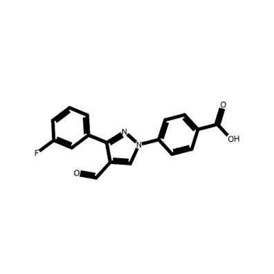 O=Cc1cn(-c2ccc(C(=O)O)cc2)nc1-c1cccc(F)c1